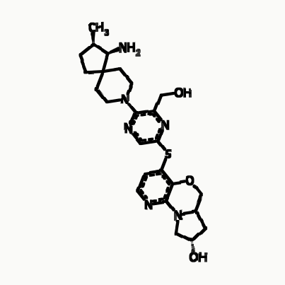 C[C@@H]1CCC2(CCN(c3ncc(Sc4ccnc5c4OCC4C[C@H](O)CN54)nc3CO)CC2)[C@@H]1N